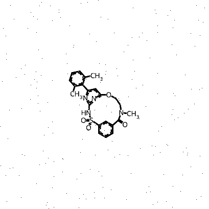 Cc1cccc(C)c1-c1cc2nc(n1)NS(=O)(=O)c1cccc(c1)C(=O)N(C)CCO2